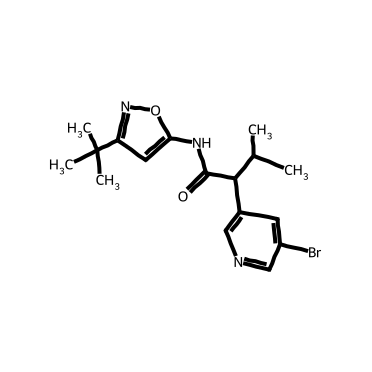 CC(C)C(C(=O)Nc1cc(C(C)(C)C)no1)c1cncc(Br)c1